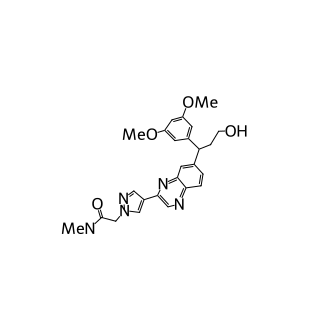 CNC(=O)Cn1cc(-c2cnc3ccc(C(CCO)c4cc(OC)cc(OC)c4)cc3n2)cn1